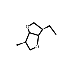 CC[C@@H]1COC2C1OC[C@H]2C